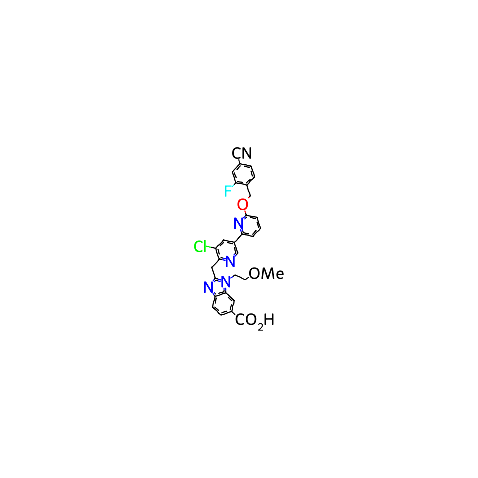 COCCn1c(Cc2ncc(-c3cccc(OCc4ccc(C#N)cc4F)n3)cc2Cl)nc2ccc(C(=O)O)cc21